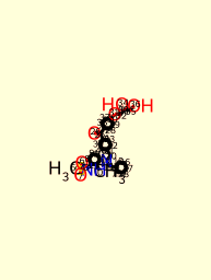 Cc1c(NS(C)(=O)=O)cccc1N(Cc1ccccc1)Cc1ccc(C(=O)c2ccc(OC[C@H](O)CO)cc2)cc1